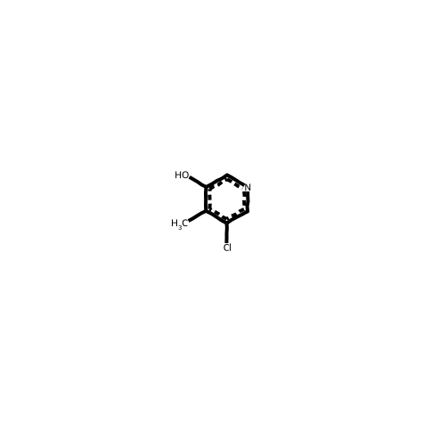 Cc1c(O)cncc1Cl